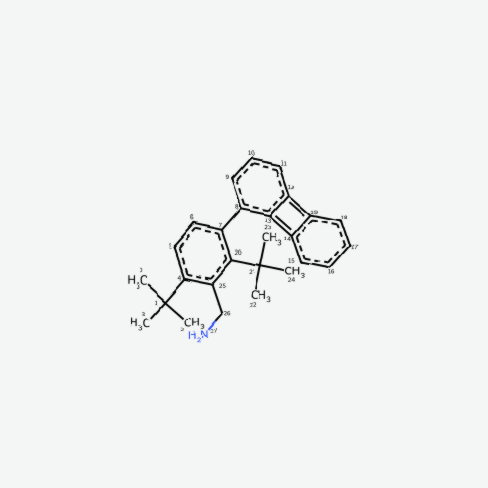 CC(C)(C)c1ccc(-c2cccc3c2=c2ccccc2=3)c(C(C)(C)C)c1CN